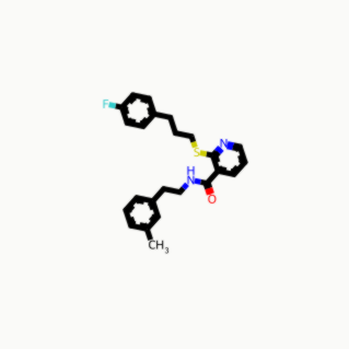 Cc1cccc(CCNC(=O)c2cccnc2SCCCc2ccc(F)cc2)c1